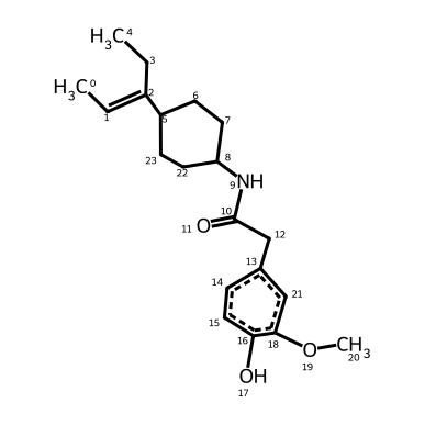 CC=C(CC)C1CCC(NC(=O)Cc2ccc(O)c(OC)c2)CC1